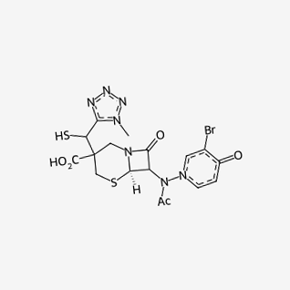 CC(=O)N(C1C(=O)N2CC(C(=O)O)(C(S)c3nnnn3C)CS[C@H]12)n1ccc(=O)c(Br)c1